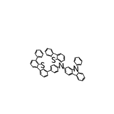 c1ccc(-c2cccc3c2sc2c(-c4ccc(N(c5ccc6c7ccccc7n(-c7ccccc7)c6c5)c5cccc6c5sc5ccccc56)cc4)cccc23)cc1